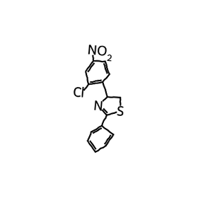 O=[N+]([O-])c1ccc(C2CSC(c3ccccc3)=N2)c(Cl)c1